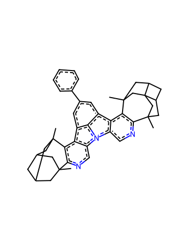 CC12CC3CC(C1)CC(C)(C3)c1c2ncc2c1c1cc(-c3ccccc3)cc3c4c5c(ncc4n2c13)C1(C)CC2CC3CC5(C)CC23C1